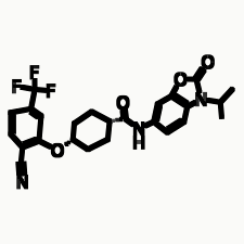 CC(C)n1c(=O)oc2cc(NC(=O)[C@H]3CC[C@@H](Oc4cc(C(F)(F)F)ccc4C#N)CC3)ccc21